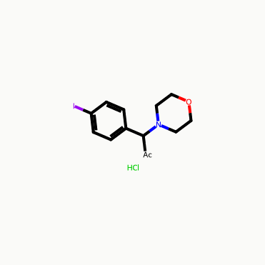 CC(=O)C(c1ccc(I)cc1)N1CCOCC1.Cl